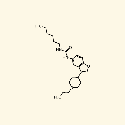 CCCCCCNC(=O)Nc1ccc2occ(C3CCN(CCC)CC3)c2c1